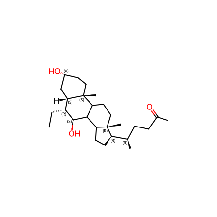 CC[C@H]1[C@H](O)C2C3CC[C@H]([C@H](C)CCC(C)=O)[C@@]3(C)CCC2[C@@]2(C)CC[C@@H](O)C[C@@H]12